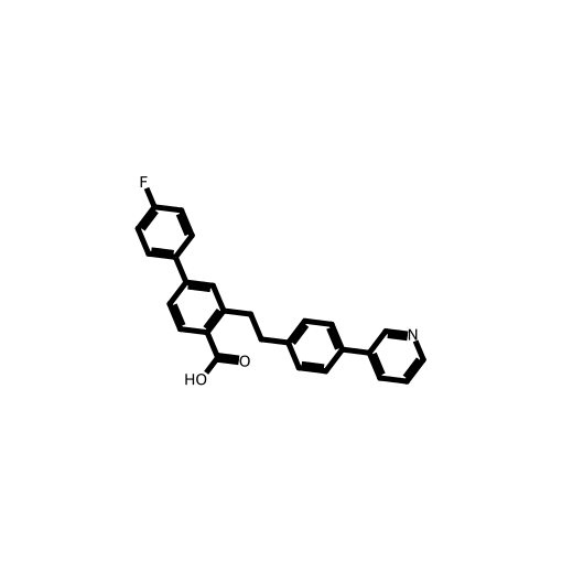 O=C(O)c1ccc(-c2ccc(F)cc2)cc1CCc1ccc(-c2cccnc2)cc1